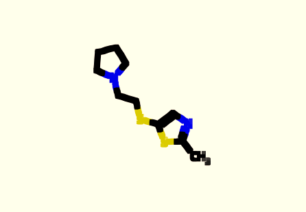 Cc1ncc(SCCN2CCCC2)s1